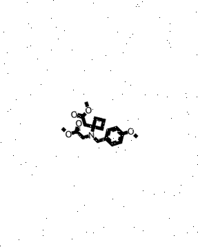 COC(=O)CN(Cc1ccc(OC)cc1)C1(CC(=O)OC)CCC1